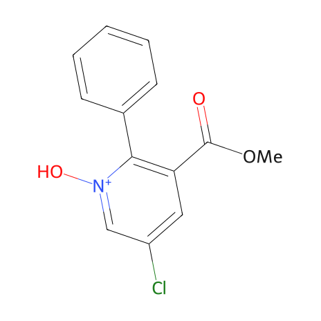 COC(=O)c1cc(Cl)c[n+](O)c1-c1ccccc1